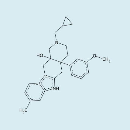 COc1cccc(C23CCN(CC4CC4)CC2(O)Cc2c([nH]c4cc(C)ccc24)C3)c1